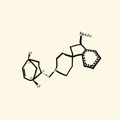 CC(=O)NC1CC2(CCN(C[C@H]3C[C@H]4C=C[C@@H]3C4)CC2)c2ccccc21